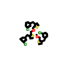 COCc1sccc1Cc1cccc(Cl)c1.Clc1cccc(Cc2ccsc2COCc2sccc2Cc2cccc(Cl)c2)c1